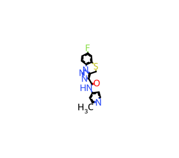 Cc1cc(NC(=O)c2nnn3c2CSc2cc(F)ccc2-3)ccn1